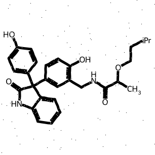 CC(C)CCOC(C)C(=O)NCc1cc(C2(c3ccc(O)cc3)C(=O)Nc3ccccc32)ccc1O